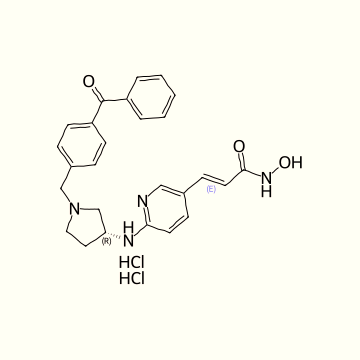 Cl.Cl.O=C(/C=C/c1ccc(N[C@@H]2CCN(Cc3ccc(C(=O)c4ccccc4)cc3)C2)nc1)NO